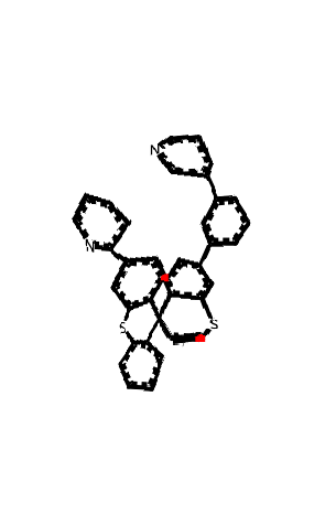 c1ccc(-c2ccc3c(c2)Sc2ccccc2C32c3ccccc3Sc3cc(-c4cccc(-c5cccnc5)c4)ccc32)nc1